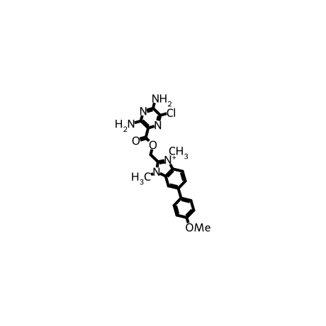 COc1ccc(-c2ccc3c(c2)n(C)c(COC(=O)c2nc(Cl)c(N)nc2N)[n+]3C)cc1